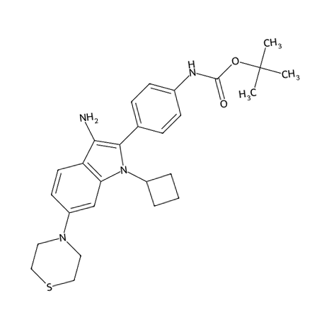 CC(C)(C)OC(=O)Nc1ccc(-c2c(N)c3ccc(N4CCSCC4)cc3n2C2CCC2)cc1